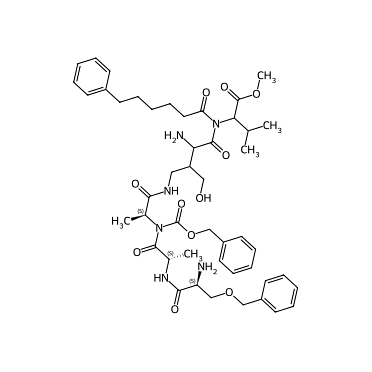 COC(=O)C(C(C)C)N(C(=O)CCCCCc1ccccc1)C(=O)C(N)C(CO)CNC(=O)[C@H](C)N(C(=O)OCc1ccccc1)C(=O)[C@H](C)NC(=O)[C@@H](N)COCc1ccccc1